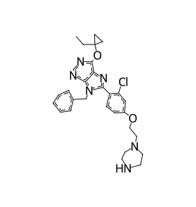 CCC1(Oc2ncnc3c2nc(-c2ccc(OCCN4CCNCC4)cc2Cl)n3Cc2ccccc2)CC1